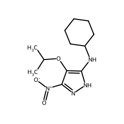 CC(C)Oc1c([N+](=O)[O-])n[nH]c1NC1CCCCC1